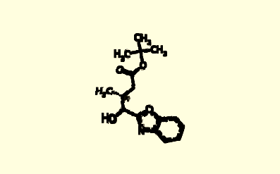 C[C@H](CC(=O)OC(C)(C)C)C(O)c1nc2ccccc2o1